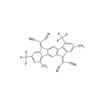 Cc1cc2c(c(C(F)(F)F)c1)-c1cc3c(cc1C2=C(C#N)C#N)-c1c(C)cc(C(F)(F)F)cc1C3=C(C#N)C#N